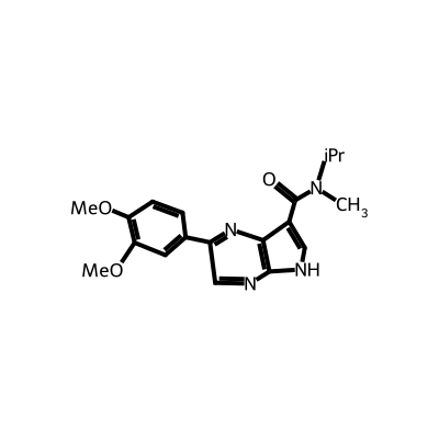 COc1ccc(-c2cnc3[nH]cc(C(=O)N(C)C(C)C)c3n2)cc1OC